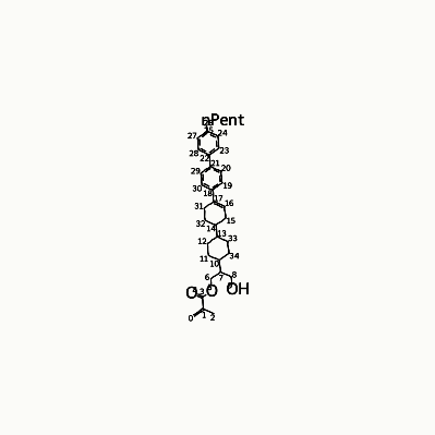 C=C(C)C(=O)OCC(CO)C1CCC(C2CC=C(c3ccc(-c4ccc(CCCCC)cc4)cc3)CC2)CC1